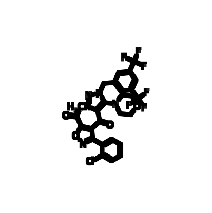 CC(=O)c1onc(-c2ccccc2Cl)c1C(=O)c1nnn(Cc2cc(C(F)(F)F)cc(C(F)(F)F)c2)c1N1CCOCC1